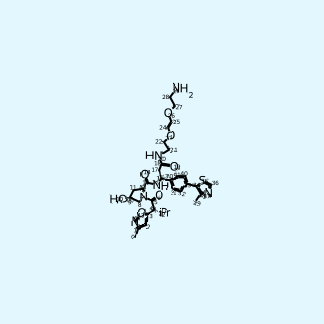 Cc1cc([C@H](C(=O)N2C[C@H](O)C[C@H]2C(=O)N[C@@H](CC(=O)NCCOCCOCCN)c2ccc(-c3scnc3C)cc2)C(C)C)on1